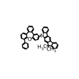 CC1(C)c2ccccc2-c2cc3c4ccccc4n(-c4ccc5c(c4)-c4ccccc4-c4cccc(-c6ccccc6)c4O5)c3cc21